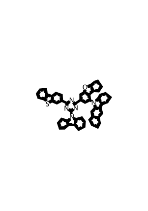 c1ccc2cc3c(cc2c1)c1ccccc1n3-c1cc(-c2nc(-c3ccc4c(c3)sc3ccccc34)nc(-n3c4ccccc4c4ccccc43)n2)cc2oc3ccccc3c12